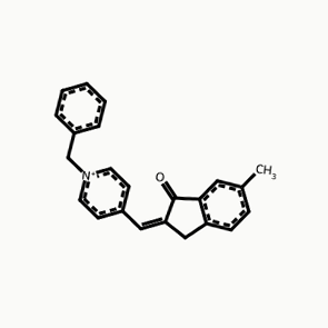 Cc1ccc2c(c1)C(=O)C(=Cc1cc[n+](Cc3ccccc3)cc1)C2